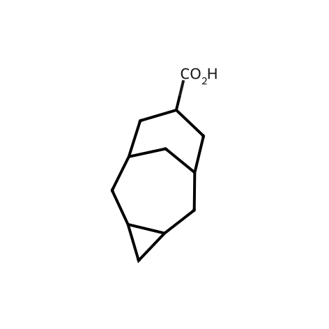 O=C(O)C1CC2CC(C1)CC1CC1C2